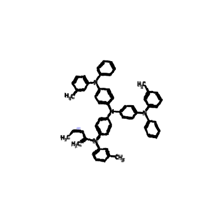 C=C(/C=C\C)N(c1ccc(N(c2ccc(N(c3ccccc3)c3cccc(C)c3)cc2)c2ccc(N(c3ccccc3)c3cccc(C)c3)cc2)cc1)c1cccc(C)c1